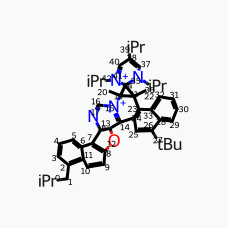 CC(C)Cc1cccc2c3c(ccc12)OC1C2=[N+](C=NC31)C1(C)C(C)(c3c2cc(C(C)(C)C)c2ccccc32)C12N(C(C)C)C=C(C(C)C)C=[N+]2C(C)C